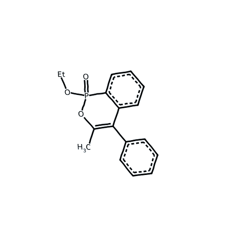 CCOP1(=O)OC(C)=C(c2ccccc2)c2ccccc21